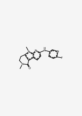 CN1CCc2c(c3ccc(Nc4ccc(F)nc4)nc3n2C)C1=O